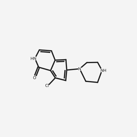 O=c1[nH]ccc2cc(N3CCNCC3)cc(Cl)c12